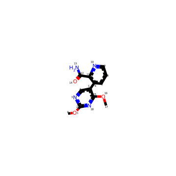 COc1ncc(-c2cccnc2C(N)=O)c(OC)n1